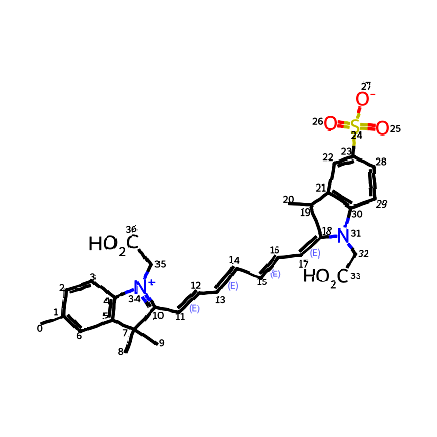 Cc1ccc2c(c1)C(C)(C)C(/C=C/C=C/C=C/C=C1\C(C)c3cc(S(=O)(=O)[O-])ccc3N1CC(=O)O)=[N+]2CC(=O)O